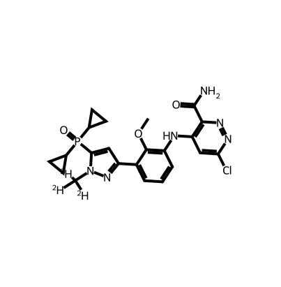 [2H]C([2H])([2H])n1nc(-c2cccc(Nc3cc(Cl)nnc3C(N)=O)c2OC)cc1P(=O)(C1CC1)C1CC1